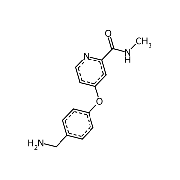 CNC(=O)c1cc(Oc2ccc(CN)cc2)ccn1